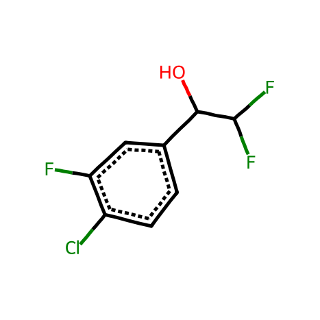 OC(c1ccc(Cl)c(F)c1)C(F)F